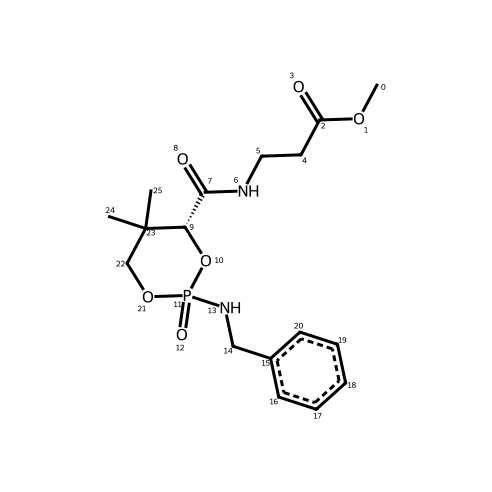 COC(=O)CCNC(=O)[C@@H]1OP(=O)(NCc2ccccc2)OCC1(C)C